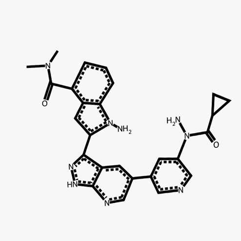 CN(C)C(=O)c1cccc2c1cc(-c1n[nH]c3ncc(-c4cncc(N(N)C(=O)C5CC5)c4)cc13)n2N